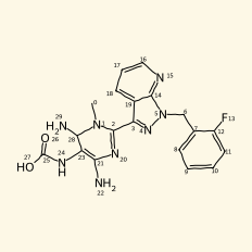 CN1C(c2nn(Cc3ccccc3F)c3ncccc23)=NC(N)=C(NC(=O)O)C1N